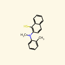 Cc1ccccc1N(C)c1ccc2ccccc2c1S